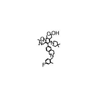 CC(=O)N(C)Cc1nc(C)c(CC(=O)O)c(N2CCC(C)(C)CC2)c1-c1ccc2c(c1)CCN(Cc1ccc(F)cc1C)C2